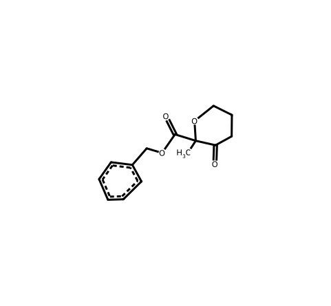 CC1(C(=O)OCc2ccccc2)OCCCC1=O